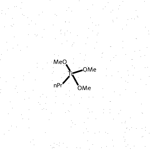 CC[CH2][Ti]([O]C)([O]C)[O]C